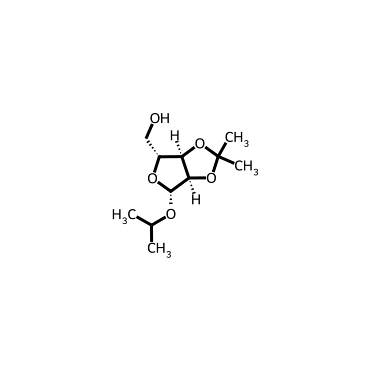 CC(C)O[C@@H]1O[C@H](CO)[C@H]2OC(C)(C)O[C@@H]12